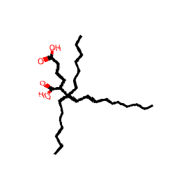 CCCCCCCCCCC(CCCCCCC)(CCCCCCC)C(CCCC(=O)O)C(=O)O